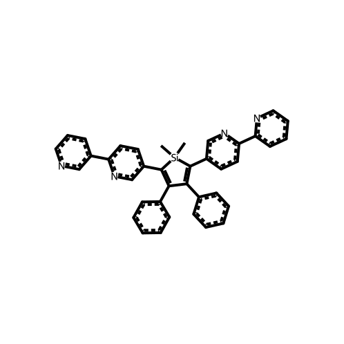 C[Si]1(C)C(c2ccc(-c3cccnc3)nc2)=C(c2ccccc2)C(c2ccccc2)=C1c1ccc(-c2ccccn2)nc1